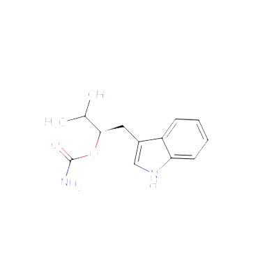 CC(C)[C@@H](Cc1c[nH]c2ccccc12)OC(N)=O